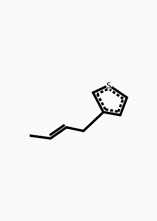 CC=CCc1ccsc1